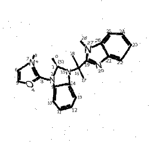 C[C@@H]1N(c2occ[n+]2C)c2ccccc2N1C(C)(C)c1nc2ccccc2n1C